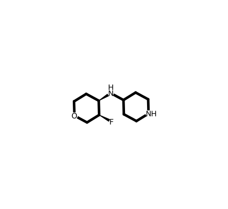 F[C@H]1COCC[C@H]1NC1CCNCC1